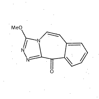 COc1nnc2c(=O)c3ccccc3ccn12